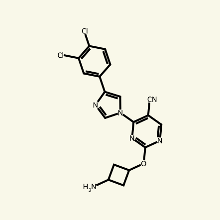 N#Cc1cnc(OC2CC(N)C2)nc1-n1cnc(-c2ccc(Cl)c(Cl)c2)c1